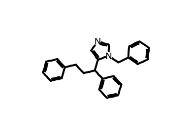 c1ccc(CCC(c2ccccc2)c2cncn2Cc2ccccc2)cc1